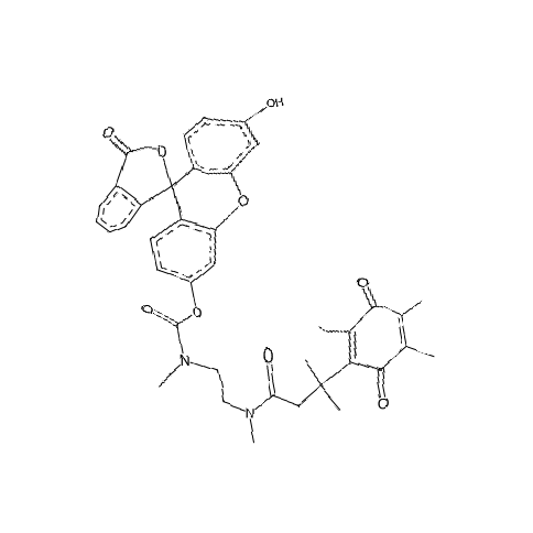 CC1=C(C)C(=O)C(C(C)(C)CC(=O)N(C)CCN(C)C(=O)Oc2ccc3c(c2)Oc2cc(O)ccc2C32OC(=O)c3ccccc32)=C(C)C1=O